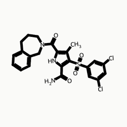 Cc1c(C(=O)N2CCCc3ccccc3C2)[nH]c(C(N)=O)c1S(=O)(=O)c1cc(Cl)cc(Cl)c1